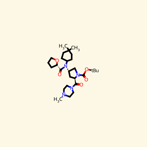 CN1CCN(C(=O)[C@H]2C[C@H](N(C(=O)[C@@H]3CCCO3)C3CCC(C)(C)CC3)CN2C(=O)OC(C)(C)C)CC1